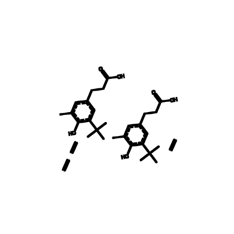 C=C.C=C.C=C.Cc1cc(CCC(=O)O)cc(C(C)(C)C)c1O.Cc1cc(CCC(=O)O)cc(C(C)(C)C)c1O